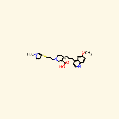 COc1ccc2nccc(CCC[C@@H]3CCN(CCCSc4ccn(C)c4)C[C@@H]3C(=O)O)c2c1